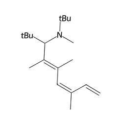 C=C/C(C)=C\C(C)=C(/C)C(N(C)C(C)(C)C)C(C)(C)C